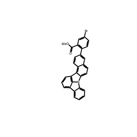 COC(=O)c1cc(Br)ccc1-c1ccc2c(ccc3c2c2cccc4c5ccccc5n3c42)c1